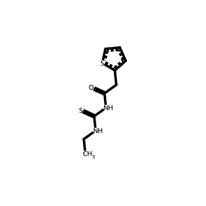 CCNC(=S)NC(=O)Cc1cccs1